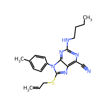 C=CCSc1nc2c(C#N)nc(NCCCC)nc2n1-c1ccc(C)cc1